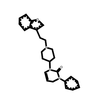 O=C1N(c2ccccc2)CC=CN1C1CCN(CCc2coc3ccccc23)CC1